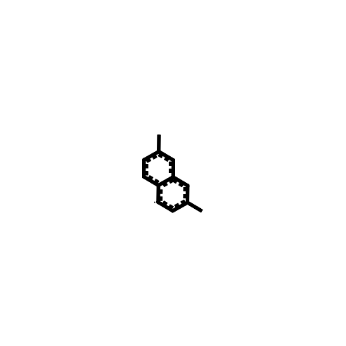 Cc1c[c]c2ccc(C)cc2c1